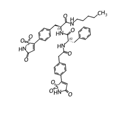 CCCCCNC(=O)[C@H](Cc1ccc(C2=CC(=O)NS2(=O)=O)cc1)NC(=O)[C@H](Cc1ccccc1)NC(=O)Cc1ccc(C2=CC(=O)NS2(=O)=O)cc1